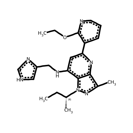 CCOc1ncccc1-c1cc(NCc2c[nH]cn2)c2c(n1)c(C)nn2[C@H](C)CC